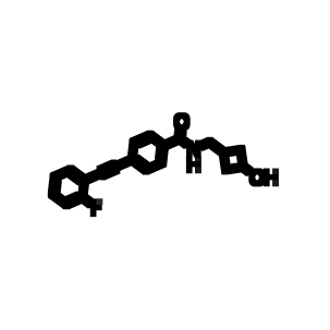 O=C(NCC1CC(O)C1)c1ccc(C#Cc2ccccc2F)cc1